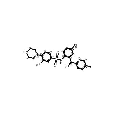 Cc1ccc(C(=O)c2cc(Cl)ccc2NS(=O)(=O)c2ccc(N3CCOCC3)c(F)c2)nc1